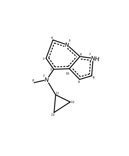 CN(c1ccnc2[nH]ccc12)C1CC1